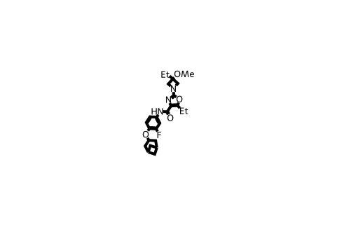 CCc1oc(N2CC(CC)(OC)C2)nc1C(=O)Nc1ccc(OC2CC3CC(C3)C2)c(F)c1